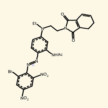 CCN(CCN1C(=O)C2=C(CCC=C2)C1=O)c1ccc(/N=N/c2c(Br)cc([N+](=O)[O-])cc2[N+](=O)[O-])c(NC(C)=O)c1